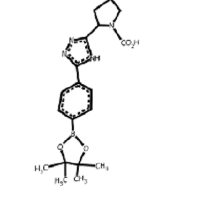 CC1(C)OB(c2ccc(-c3nnc(C4CCCN4C(=O)O)[nH]3)cc2)OC1(C)C